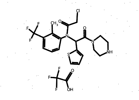 Cc1c(N(C(=O)CCl)C(C(=O)N2CCNCC2)c2cccs2)cccc1C(F)(F)F.O=C(O)C(F)(F)F